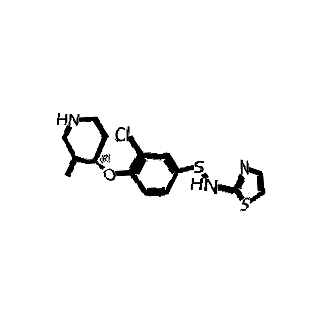 CC1CNCC[C@H]1Oc1ccc(SNc2nccs2)cc1Cl